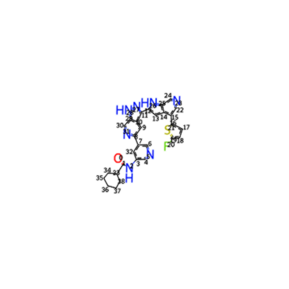 O=C(Nc1cncc(-c2cc3c(-c4cc5c(-c6ccc(F)s6)cncc5[nH]4)n[nH]c3cn2)c1)C1CCCCC1